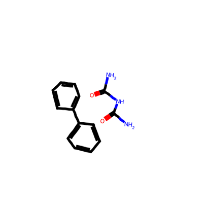 NC(=O)NC(N)=O.c1ccc(-c2ccccc2)cc1